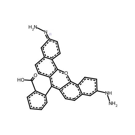 N/N=c1/ccc2c(ccc3c(-c4ccccc4C(=O)O)c4ccc5cc(NN)ccc5c4oc32)c1